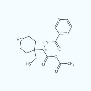 O=C(N[C@H](C(=O)OC(=O)C(F)(F)F)C1(CS)CCNCC1)c1cccnc1